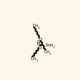 CCCCCCCCOC(=O)/C=C(/CCCC)C(=O)OCCCCCCCC.[SnH2]